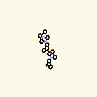 CC1(C)c2ccccc2-c2cc(N(c3ccc4c(c3)Sc3cccc5c3c-4cc3ccc(N(c4ccccc4)c4cccc6c4oc4c(-c7ccccc7)cccc46)cc35)c3ccccc3-c3ccccc3)ccc21